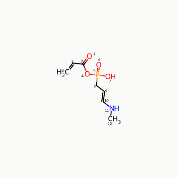 C=CC(=O)OP(=O)(O)CC=CNC